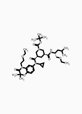 CCOCCN1C(=O)C(C)(C)Oc2ccc(N(C(=O)[C@@H]3C[C@H](C(=O)N[C@@H](COCC)CC(C)C)CN(C(=O)OC(C)(C)C)C3)C3CC3)cc21